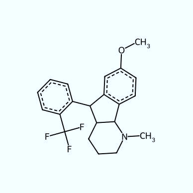 COc1ccc2c(c1)C(c1ccccc1C(F)(F)F)C1CCCN(C)C21